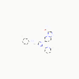 Cc1cccc(-c2nc(CNc3cc(Br)ccc3F)cn2-c2ccc3ncc(C(N)=O)n3c2)n1